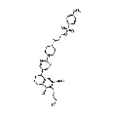 Cc1ccc(S(=O)(=O)OCCOC2CCN(c3ncc(C4CCCc5c4cc(C#N)c(OCCCl)c5Cl)cn3)CC2)cc1